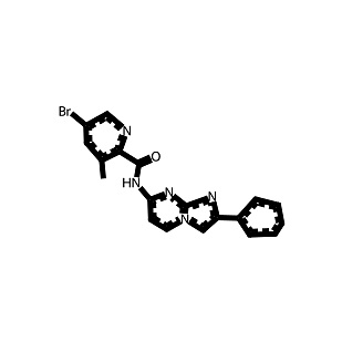 Cc1cc(Br)cnc1C(=O)Nc1ccn2cc(-c3ccccc3)nc2n1